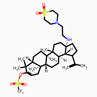 C=C(C)C1CC[C@]2(NCCN3CCS(=O)(=O)CC3)CC[C@]3(C)[C@H](CC[C@@H]4[C@@]5(C)CC=C(OS(=O)(=O)C(F)(F)F)C(C)(C)[C@@H]5CC[C@]43C)[C@@H]12